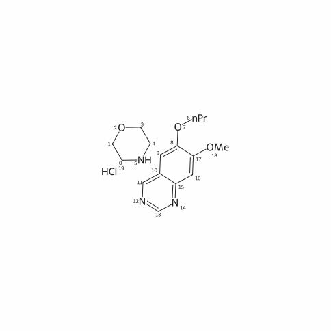 C1COCCN1.CCCOc1cc2cncnc2cc1OC.Cl